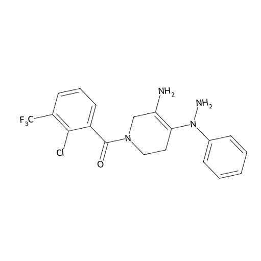 NC1=C(N(N)c2ccccc2)CCN(C(=O)c2cccc(C(F)(F)F)c2Cl)C1